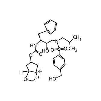 CC(C)CN(C[C@@H](O)[C@H](Cc1ccccc1)NC(=O)O[C@H]1C[C@@H]2OCO[C@@H]2C1)S(=O)(=O)c1ccc(CO)cc1